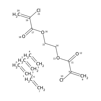 C=C.C=C.C=C.C=C.C=C(Cl)C(=O)OCCOC(=O)C(=C)Cl